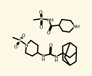 CS(=O)(=O)N1CCC(NC(=O)NC23CC4CC(CC(C4)C2)C3)CC1.CS(=O)(=O)NC(=O)C1CCNCC1